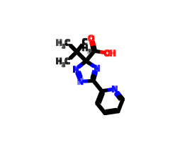 CC(C)(C)C1(C(=O)O)N=NC(c2ccccn2)=N1